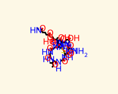 CCC(C)C1NC(=O)CNC(=O)C2Cc3c([nH]c4cc(O)ccc34)[S+]([O-])CC(NC(=O)CNC1=O)C(=O)NC(CC(N)=O)C(=O)N1CC(O)CC1C(=O)NC(C(C)C(O)COC(=O)CCCC(=O)NC)C(=O)N2